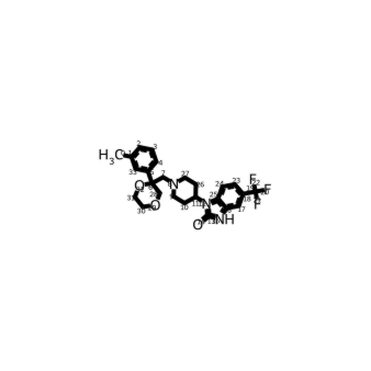 Cc1cccc(C2(CN3CCC(n4c(=O)[nH]c5cc(C(F)(F)F)ccc54)CC3)COCCO2)c1